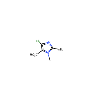 CCCCc1nc(Cl)c(C(=O)O)n1C